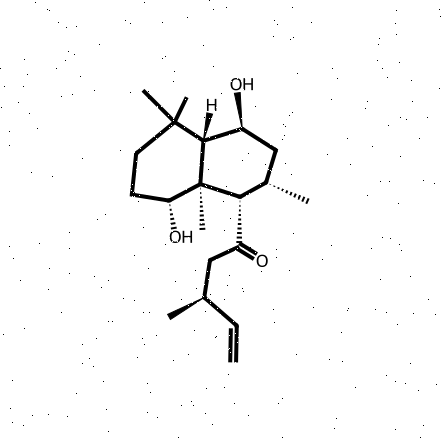 C=C[C@@H](C)CC(=O)[C@H]1[C@@H](C)C[C@H](O)[C@H]2C(C)(C)CC[C@@H](O)[C@]12C